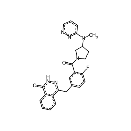 CN(c1cccnn1)C1CCN(C(=O)c2cc(Cc3n[nH]c(=O)c4ccccc34)ccc2F)C1